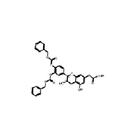 CCCCCCC(=O)Oc1cc(O)c2c(c1)O[C@H](c1ccc(OC(=O)OCc3ccccc3)c(OC(=O)OCc3ccccc3)c1)[C@H](O)C2